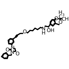 CC1(C)OCc2cc([C@H](O)CNCCCCCCOCCC#Cc3cccc(N4CC(=O)N(Cc5ccccc5)C4=O)c3)ccc2O1